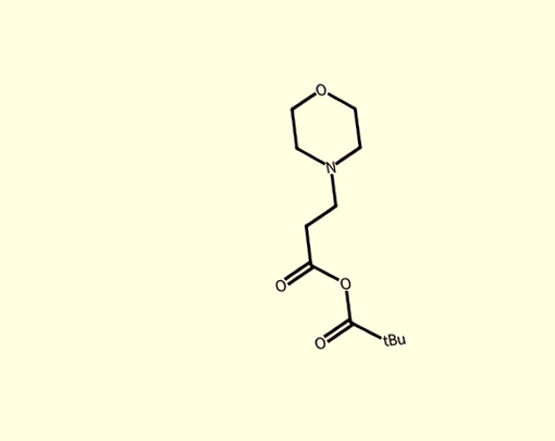 CC(C)(C)C(=O)OC(=O)CCN1CCOCC1